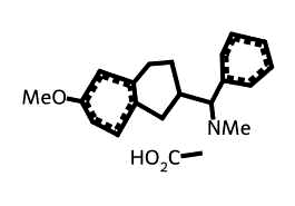 CC(=O)O.CNC(c1ccccc1)C1CCc2cc(OC)ccc2C1